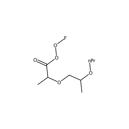 CCCOC(C)COC(C)C(=O)OOF